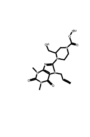 C=CCn1c(N2CCN(C(=O)OC(C)(C)C)CC2CO)nc2c1c(=O)n(C)c(=O)n2C